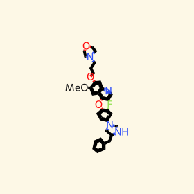 COc1cc2c(Oc3ccc(N4CNC(Cc5ccccc5)C4)cc3F)ccnc2cc1OCCCN1CCOCC1